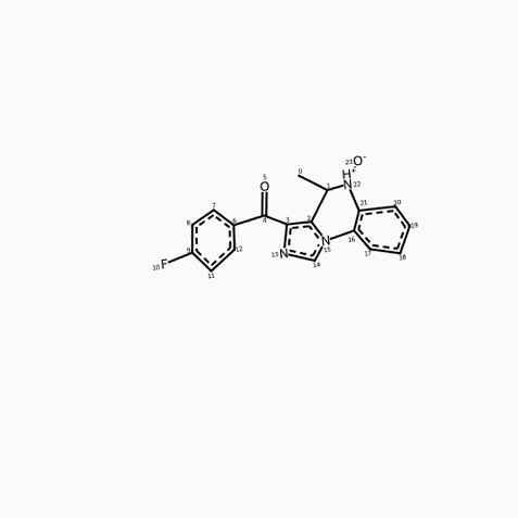 CC1c2c(C(=O)c3ccc(F)cc3)ncn2-c2ccccc2[NH+]1[O-]